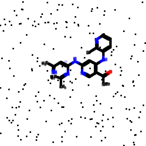 CCc1ncccc1Nc1cc(N/C(=C/C(C)=N)N=C(C)C)ncc1C(=O)NC